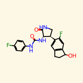 O=C(Nc1ccc(F)cc1)N[C@@H]1C(=O)NC[C@H]1c1cc2c(cc1F)C(O)CC2